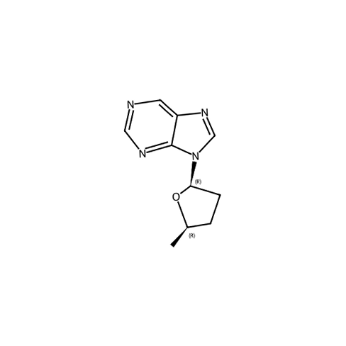 C[C@@H]1CC[C@H](n2cnc3cncnc32)O1